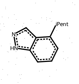 CCCC(C)c1cccc2[nH]ncc12